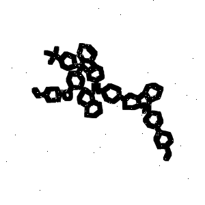 C=CC1=CC=C(C2=CCC(N3C4CC=CCC4C4CC(C5CCC(N(C6CCC7=C(C6)C(C6=CCC(O[C@@H]8CC=C(C=C)CC8)CC6)(C6CCC(C(C)(C)C)CC6)C6CCC=CC76)C6CCCC7CCCCC76)CC5)CCC43)CC2)CC1